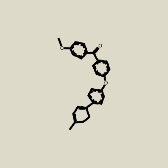 COc1ccc(C(=O)c2ccc(Oc3ccc(C4=CC=C(C)CC4)cc3)cc2)cc1